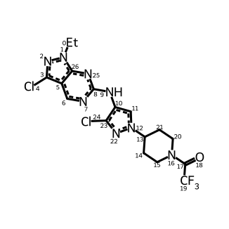 CCn1nc(Cl)c2cnc(Nc3cn(C4CCN(C(=O)C(F)(F)F)CC4)nc3Cl)nc21